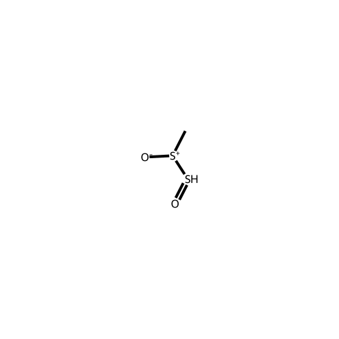 C[S+]([O-])[SH]=O